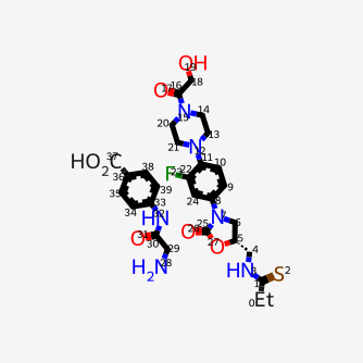 CCC(=S)NC[C@H]1CN(c2ccc(N3CCN(C(=O)CO)CC3)c(F)c2)C(=O)O1.NCC(=O)Nc1ccc(C(=O)O)cc1